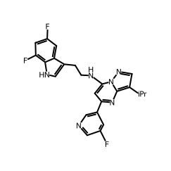 CC(C)c1cnn2c(NCCc3c[nH]c4c(F)cc(F)cc34)cc(-c3cncc(F)c3)nc12